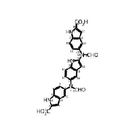 O=CN(c1ccc2[nH]c(C(=O)O)cc2c1)c1ccc2[nH]c(N(C=O)c3ccc4[nH]c(C(=O)O)cc4c3)cc2c1